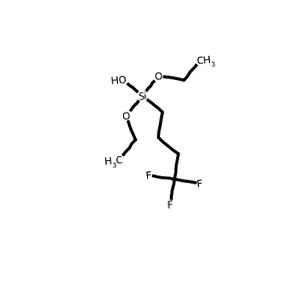 CCO[Si](O)(CCCC(F)(F)F)OCC